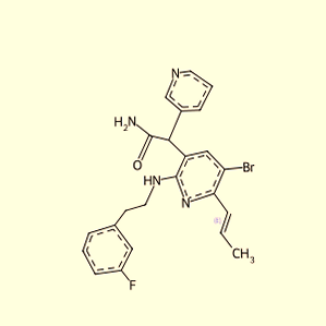 C/C=C/c1nc(NCCc2cccc(F)c2)c(C(C(N)=O)c2cccnc2)cc1Br